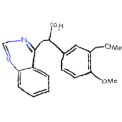 COc1ccc(C(C(=O)O)c2ncnc3ccccc23)cc1OC